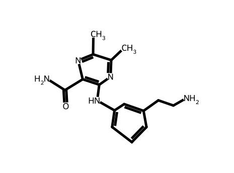 Cc1nc(Nc2cccc(CCN)c2)c(C(N)=O)nc1C